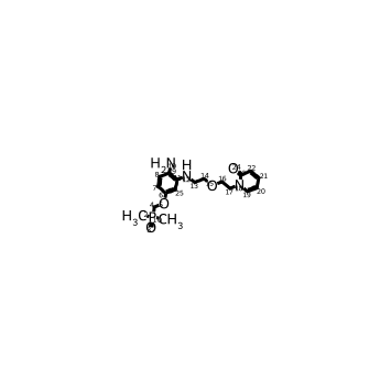 CP(C)(=O)COc1ccc(N)c(NCCOCCn2ccccc2=O)c1